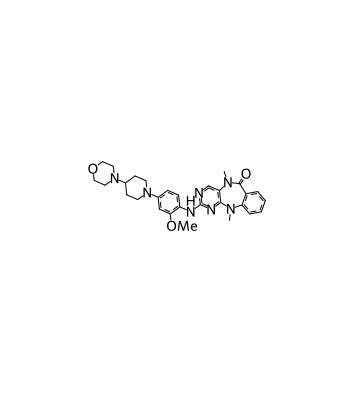 COc1cc(N2CCC(N3CCOCC3)CC2)ccc1Nc1ncc2c(n1)N(C)c1ccccc1C(=O)N2C